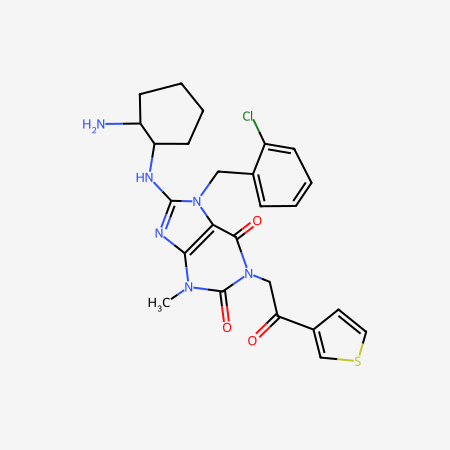 Cn1c(=O)n(CC(=O)c2ccsc2)c(=O)c2c1nc(NC1CCCCC1N)n2Cc1ccccc1Cl